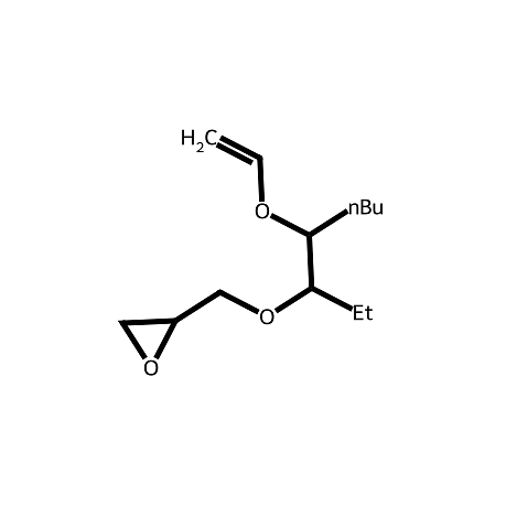 C=COC(CCCC)C(CC)OCC1CO1